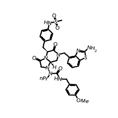 CCCN(C(=O)NCc1ccc(OC)cc1)N1CC(=O)N2[C@@H](Cc3ccc(NS(C)(=O)=O)cc3)C(=O)N(Cc3cccc4sc(N)nc34)C[C@@H]21